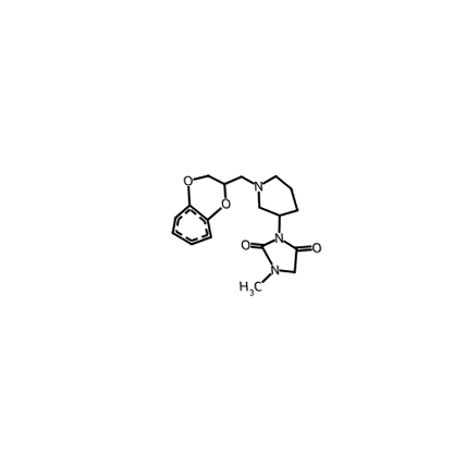 CN1CC(=O)N(C2CCCN(CC3COc4ccccc4O3)C2)C1=O